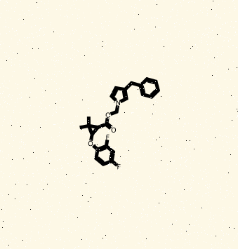 CC1(C)C(Oc2ccc(F)cc2F)C1C(=O)OCn1ccc(Cc2ccccc2)c1